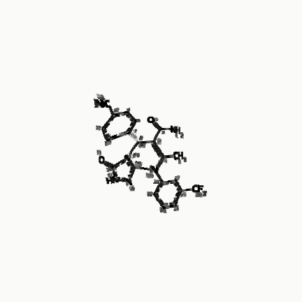 CC1=C(C(N)=O)[C@@H](c2ccc(C#N)cc2)n2c(n[nH]c2=O)N1c1cccc(C(F)(F)F)c1